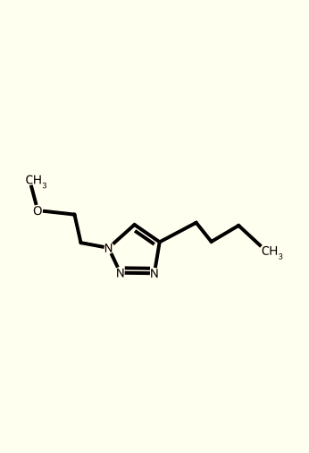 CCCCc1cn(CCOC)nn1